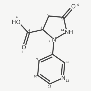 O=C1CC(C(=O)O)N(c2cccnc2)N1